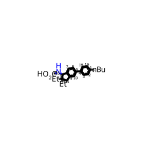 CCCCc1ccc(-c2ccc3c(c2)CC(CC)(CC)C3NC(=O)O)cc1